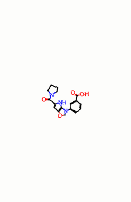 O=C(O)c1cccc(N2COc3cc(C(=O)N4CCCC4)[nH]c32)c1